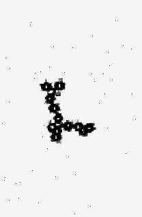 c1ccc(-c2c(-c3cccc(-c4ccc(-c5ccc(N(c6ccc(-c7ccc8c(ccc9ccccc98)c7)cc6)c6cc7ccccc7c7ccccc67)cc5)cc4)c3)oc3ccccc23)cc1